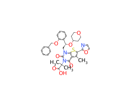 Cc1c(-c2ncco2)sc2c1c(=O)n(C(C)(C)C(=O)O)c(=O)n2C[C@H](OC1CCOCC1)c1ccccc1OCc1ccccc1